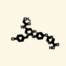 CCC(=O)NC1=CN/C(=N\c2ccc(Oc3cnc(C(=O)O)cn3)cc2)N(Cc2ccc(Cl)cc2)C1